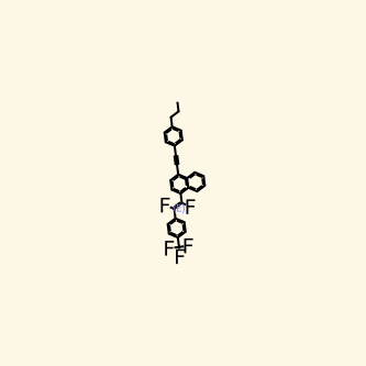 CCCc1ccc(C#Cc2ccc(/C(F)=C(\F)c3ccc(C(F)(F)F)cc3)c3ccccc23)cc1